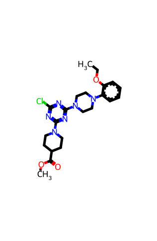 CCOc1ccccc1N1CCN(c2nc(Cl)nc(N3CCC(C(=O)OC)CC3)n2)CC1